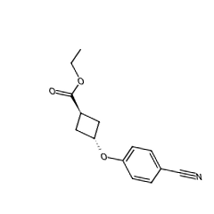 CCOC(=O)[C@H]1C[C@H](Oc2ccc(C#N)cc2)C1